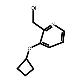 OCc1ncccc1OC1CCC1